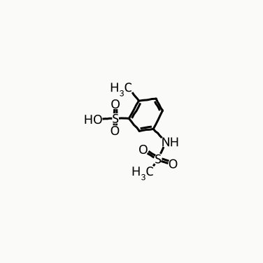 Cc1ccc(NS(C)(=O)=O)cc1S(=O)(=O)O